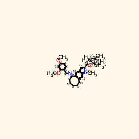 COc1ccc(C/N=C2\CCCCCc3cc4c(cc32)cc(CO[Si](C)(C)C(C)(C)C)n4C)c(OC)c1